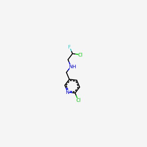 FC(Cl)CNCc1ccc(Cl)nc1